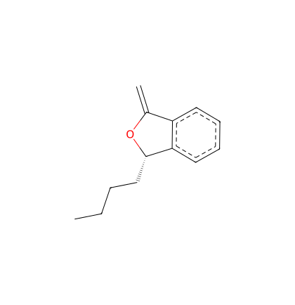 C=C1O[C@@H](CCCC)c2ccccc21